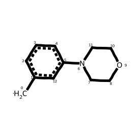 [CH2]c1cccc(N2CCOCC2)c1